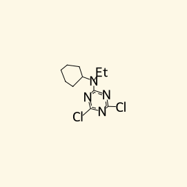 CCN(c1nc(Cl)nc(Cl)n1)C1CCCCC1